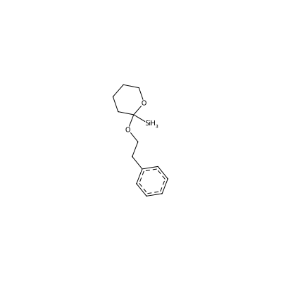 [SiH3]C1(OCCc2ccccc2)CCCCO1